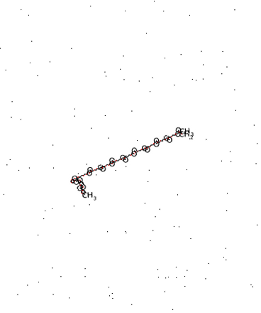 C=C(C)C(=O)OCCCCCC(=O)OCCCCCC(=O)OCCCCCC(=O)OCCCCCC(=O)OCCCCCC(=O)OCCCCCC(=O)OCCCCCC(=O)OCCCCCC(=O)OCCCCCCCC(Oc1ccccc1)C(=O)Oc1ccc(OC(=O)c2ccc(C)cc2)cc1